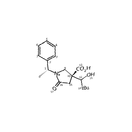 C[C@H](c1ccccc1)N1C[C@](C(=O)O)(C(O)C(C)(C)C)CC1=O